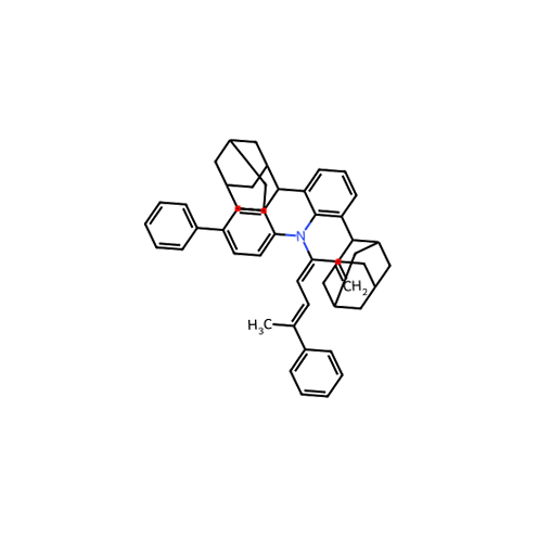 C=C/C(=C\C=C(/C)c1ccccc1)N(c1ccc(-c2ccccc2)cc1)c1c(C2C3CC4CC(C3)CC2C4)cccc1C1C2CC3CC(C2)CC1C3